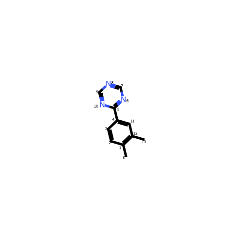 Cc1ccc(-c2ncncn2)cc1C